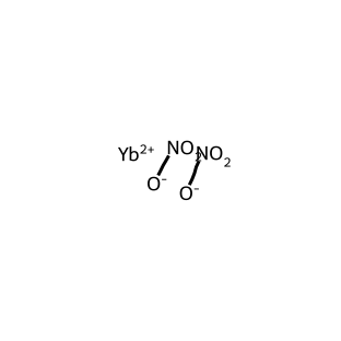 O=[N+]([O-])[O-].O=[N+]([O-])[O-].[Yb+2]